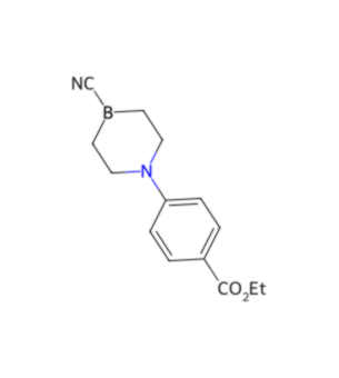 CCOC(=O)c1ccc(N2CCB(C#N)CC2)cc1